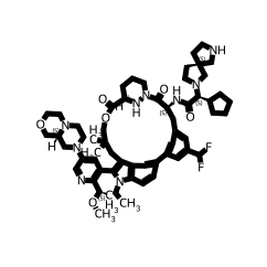 CCn1c(-c2cc(N3CCN4CCOC[C@@H]4C3)cnc2[C@H](C)OC)c2c3cc(ccc31)-c1cc(cc(C(F)F)c1)C[C@H](NC(=O)[C@H](C1CCCC1)N1CC[C@]3(CCNC3)C1)C(=O)N1CCC[C@H](N1)C(=O)OCC(C)(C)C2